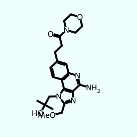 COCc1nc2c(N)nc3cc(CCC(=O)N4CCOCC4)ccc3c2n1CC(C)(C)O